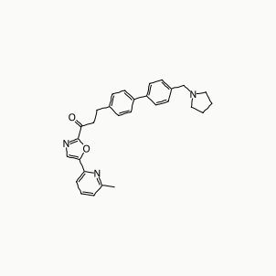 Cc1cccc(-c2cnc(C(=O)CCc3ccc(-c4ccc(CN5CCCC5)cc4)cc3)o2)n1